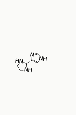 [c]1nc(C2NCCN2)c[nH]1